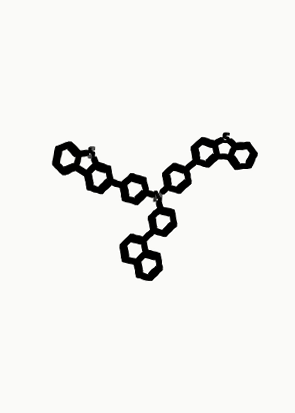 c1cc(-c2cccc3ccccc23)cc(N(c2ccc(-c3ccc4c(c3)sc3ccccc34)cc2)c2ccc(-c3ccc4sc5ccccc5c4c3)cc2)c1